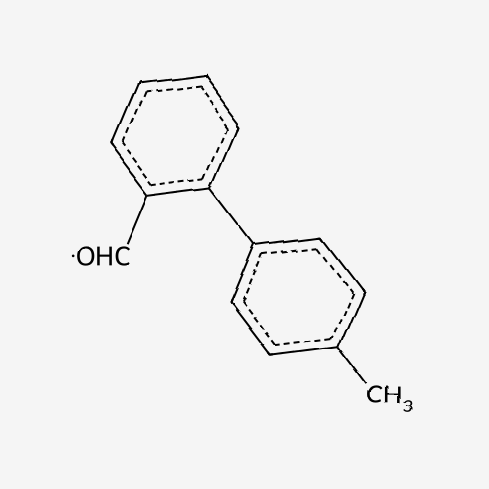 Cc1ccc(-c2ccccc2[C]=O)cc1